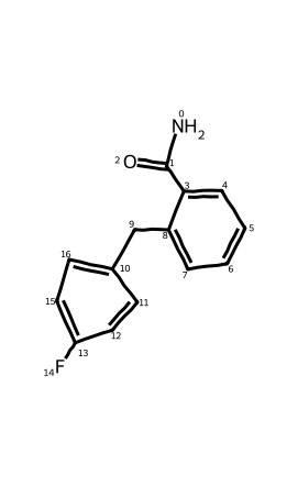 NC(=O)c1ccccc1Cc1ccc(F)cc1